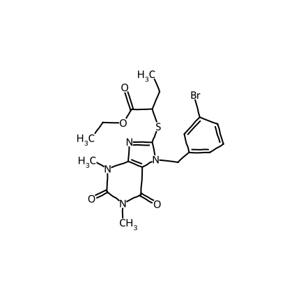 CCOC(=O)C(CC)Sc1nc2c(c(=O)n(C)c(=O)n2C)n1Cc1cccc(Br)c1